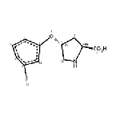 O=C(O)[C@@H]1C[C@@H](Oc2cc[c]c(F)c2)CN1